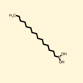 CCCCCCCCCCCCCCCB(O)O